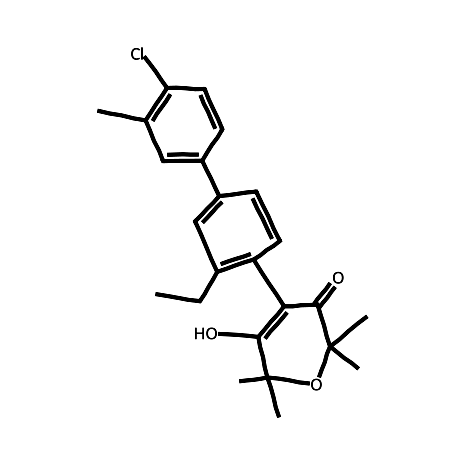 CCc1cc(-c2ccc(Cl)c(C)c2)ccc1C1=C(O)C(C)(C)OC(C)(C)C1=O